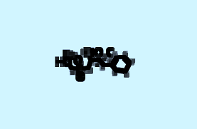 CCOC(=O)C(CCc1ccccc1)CP(=O)(CO)OCC